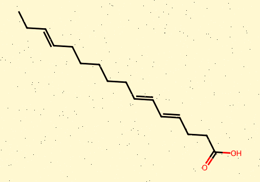 CC/C=C/CCCCC/C=C/C=C/CCC(=O)O